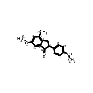 COc1ccc(C2Cc3c(C)cc(OC)cc3C2=O)cc1